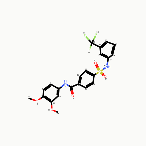 COc1ccc(NC(=O)c2ccc(S(=O)(=O)Nc3cccc(C(F)(F)F)c3)cc2)cc1OC